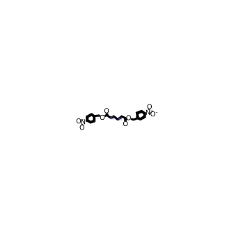 O=C(/C=C/C=C/C(=O)OCc1ccc([N+](=O)[O-])cc1)OCc1ccc([N+](=O)[O-])cc1